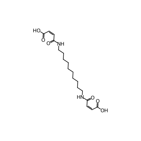 O=C(O)/C=C\C(=O)NCCCCCCCCCCNC(=O)/C=C\C(=O)O